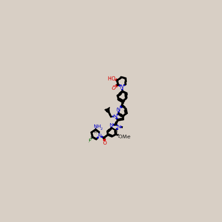 COc1cc(C(=O)N2C[C@H](N)C[C@@H](F)C2)cc2nc(-c3cc4ccc(-c5ccc(N6CCCC(O)C6=O)cc5)nc4n3CC3CC3)n(C)c12